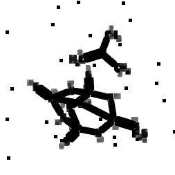 C=C(C)C.S.S=P12SP3(=S)SP(=S)(S1)SP(=S)(S2)S3